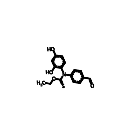 CCOC(=S)N(c1ccc(C=O)cc1)c1ccc(O)cc1O